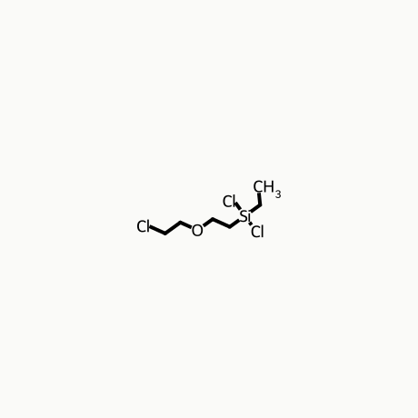 CC[Si](Cl)(Cl)CCOCCCl